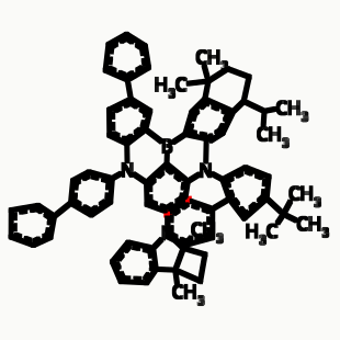 CC(C)C1CCC(C)(C)c2cc3c(cc21)N(c1ccc(C(C)(C)C)cc1-c1ccccc1)c1cc(N2c4ccccc4C4(C)CCC24C)cc2c1B3c1cc(-c3ccccc3)ccc1N2c1ccc(-c2ccccc2)cc1